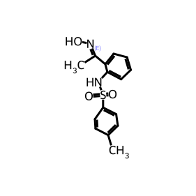 C/C(=N\O)c1ccccc1NS(=O)(=O)c1ccc(C)cc1